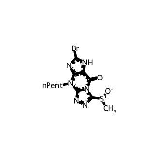 CCCCCn1c2nc(Br)[nH]c2c(=O)n2c([S+](C)[O-])nnc12